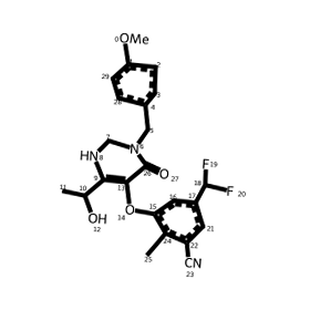 COc1ccc(CN2CNC(C(C)O)=C(Oc3cc(C(F)F)cc(C#N)c3C)C2=O)cc1